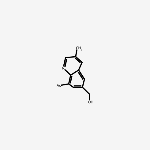 CC(=O)c1cc(CO)cc2cc(C)cnc12